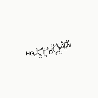 OCc1ccc(COc2ccc(-n3ccnc3)cc2)cc1